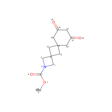 CC(C)(C)OC(=O)N1CC2(C1)CC1(CC(=O)CC(=O)C1)C2